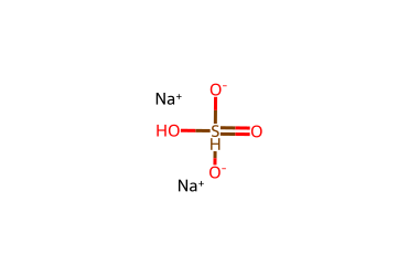 O=[SH]([O-])([O-])O.[Na+].[Na+]